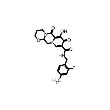 Cc1ccc(CNC(=O)c2cn3c(c(O)c2=O)C(=O)N2CCCOC2C3)c(F)c1